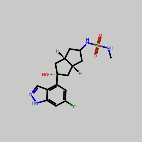 CNS(=O)(=O)NC1C[C@@H]2C[C@@](O)(c3cc(Cl)cc4[nH]ncc34)C[C@@H]2C1